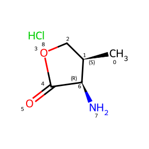 C[C@@H]1COC(=O)[C@@H]1N.Cl